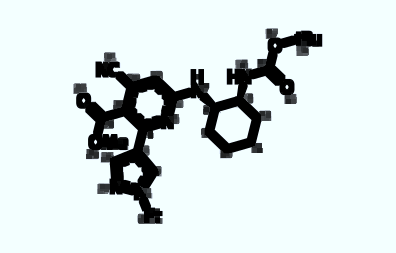 CCn1cc(-c2nc(N[C@@H]3CCCC[C@@H]3NC(=O)OC(C)(C)C)cc(C#N)c2C(=O)OC)cn1